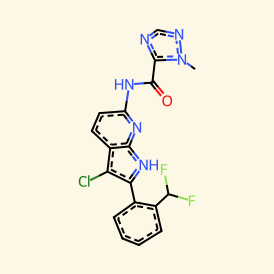 Cn1ncnc1C(=O)Nc1ccc2c(Cl)c(-c3ccccc3C(F)F)[nH]c2n1